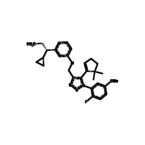 COc1ccc(F)c(-n2nnc(COc3cccc([C@@H](CC(=O)O)C4CC4)c3)c2C2=CCCC2(C)C)c1